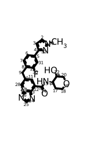 Cn1ccc(-c2ccc(Cc3cc(C(=O)N[C@H]4CCOC[C@@H]4O)c4ncnn4c3)c(F)c2)n1